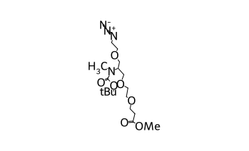 COC(=O)CCOCCOCC(COCCN=[N+]=[N-])N(C)C(=O)OC(C)(C)C